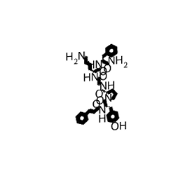 NCCCC[C@H](NC(=O)CNC(=O)[C@@H]1CCCN1C(=O)[C@H](Cc1ccc(O)cc1)NC(=O)/C=C/c1ccccc1)C(=O)N[C@@H](Cc1ccccc1)C(N)=O